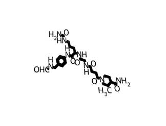 CC1CN(C(=O)CCC(=O)NCC(=O)NC(CCCNC(N)=O)C(=O)Nc2ccc(CNC=O)cc2)CCC1C(N)=O